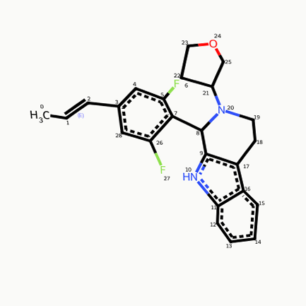 C/C=C/c1cc(F)c(C2c3[nH]c4ccccc4c3CCN2C2CCOC2)c(F)c1